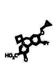 CC(C)c1cc2c(cc1OCC1CC1)CC1(CCC1)n1cc(C(=O)O)c(=O)cc1-2